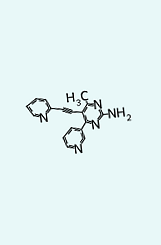 Cc1nc(N)nc(-c2cccnc2)c1C#Cc1ccccn1